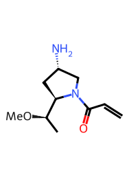 C=CC(=O)N1C[C@@H](N)C[C@@H]1[C@@H](C)OC